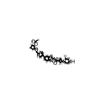 CC(=O)O[C@H]1CCC[C@@H]1OCc1ncc(-c2ccc3nc(NC(=O)C4CC(N5CCNC[C@@H]5C)C4)sc3c2)cn1